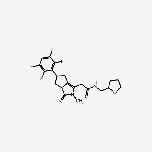 Cn1c(CC(=O)NCC2CCCO2)c2n(c1=S)CC(c1c(F)c(F)cc(F)c1F)C2